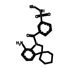 CC(C)(C)NS(=O)(=O)c1cccc(C(=O)N2CC3(CCCCC3)c3cccc(N)c32)c1